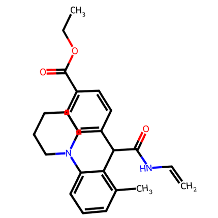 C=CNC(=O)C(c1ccc(C(=O)OCC)cc1)c1c(C)cccc1N1CCCCC1